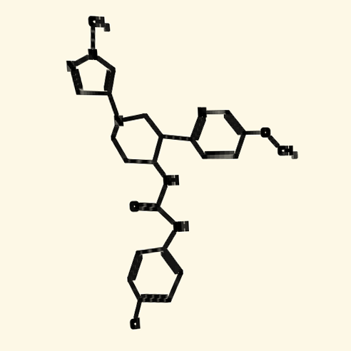 COc1ccc(C2CN(c3cnn(C)c3)CCC2NC(=O)Nc2ccc(Cl)cc2)nc1